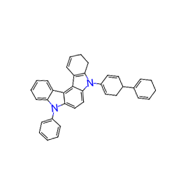 C1=CC(C2C=CC(n3c4c(c5c6c7ccccc7n(-c7ccccc7)c6ccc53)C=CCC4)=CC2)=CCC1